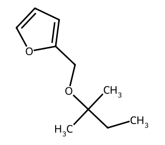 CCC(C)(C)OCc1ccco1